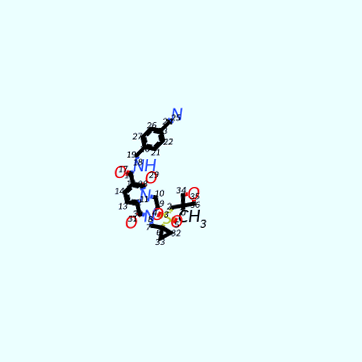 CC1(CS(=O)(=O)C2(CN3CCn4c(ccc(C(=O)NCc5ccc(C#N)cc5)c4=O)C3=O)CC2)COC1